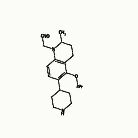 CCCOc1c(C2CCNCC2)ccc2c1CCC(C)N2CC=O